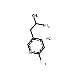 CC(N)Cc1ccc(C(F)(F)F)nc1.Cl